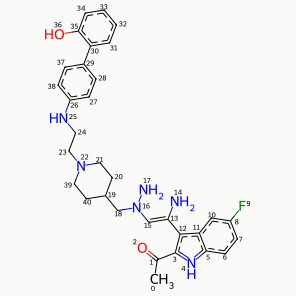 CC(=O)c1[nH]c2ccc(F)cc2c1/C(N)=C/N(N)CC1CCN(CCNc2ccc(-c3ccccc3O)cc2)CC1